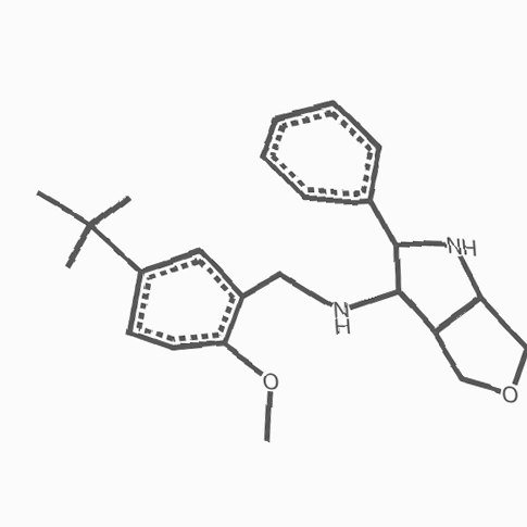 COc1ccc(C(C)(C)C)cc1CNC1C(c2ccccc2)NC2COCC21